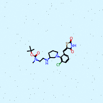 CN(CCNC1CCCN(c2c(Cl)cccc2C=C2SC(=O)NC2=O)C1)C(=O)OC(C)(C)C